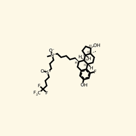 C[C@]12CC[C@@H]3c4c(F)cc(O)cc4C[C@@H](CCCCC[N+](C)([O-])CCC[S+]([O-])CCCC(F)(F)C(F)(F)F)[C@H]3[C@@H]1CC[C@@H]2O